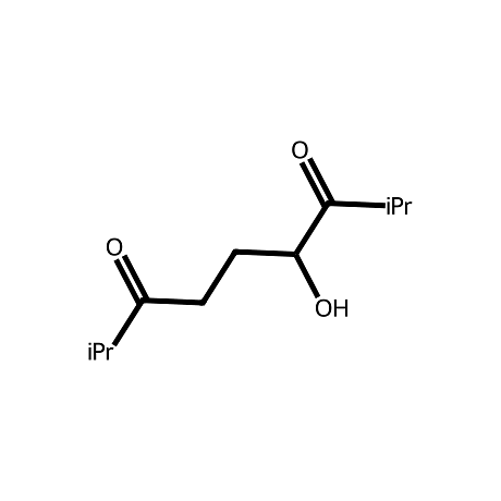 CC(C)C(=O)CCC(O)C(=O)C(C)C